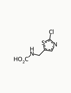 O=C(O)NCc1cnc(Cl)s1